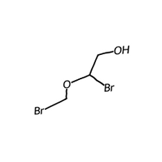 OCC(Br)OCBr